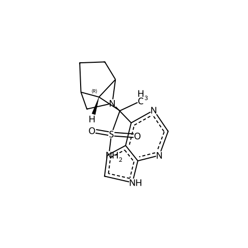 CC([C@@H]1C2CCC1N(c1ncnc3[nH]ccc13)C2)S(N)(=O)=O